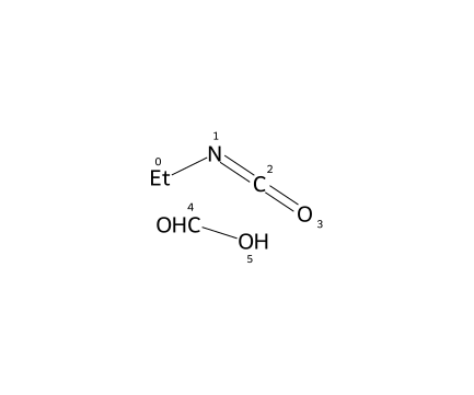 CCN=C=O.O=CO